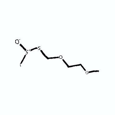 COCCOCS[S+]([O-])I